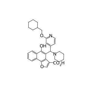 O=C(O)c1coc2c1c(C(c1ccnc(OCC3CCCCC3)c1)N1CCCCC1)c(O)c1ccccc12